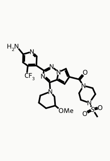 COC1CCCN(c2nc(-c3cnc(N)cc3C(F)(F)F)nn3cc(C(=O)N4CCN(S(C)(=O)=O)CC4)cc23)C1